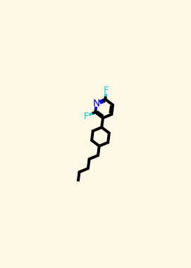 CCCCCC1CCC(c2ccc(F)nc2F)CC1